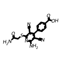 N#Cc1c(N)nc(SCC(N)=O)c(C#N)c1-c1ccc(C(=O)O)cc1